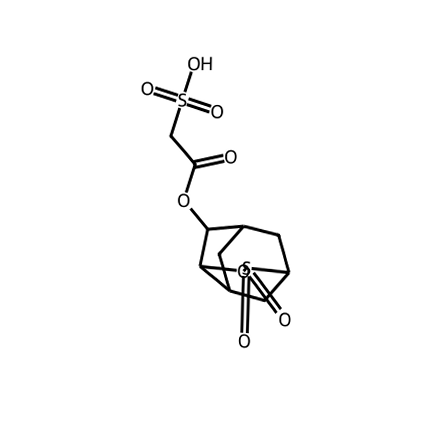 O=C(CS(=O)(=O)O)OC1C2CC3CC(C2)S(=O)(=O)OC31